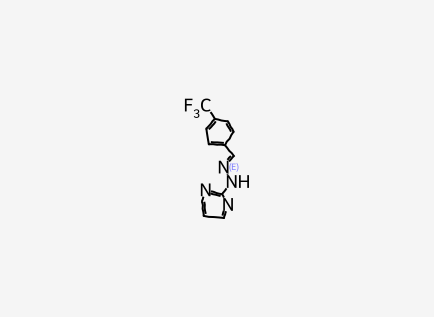 FC(F)(F)c1ccc(/C=N/Nc2ncccn2)cc1